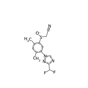 Cc1cc(C)c([S+]([O-])CC#N)cc1-n1cnc(C(F)F)n1